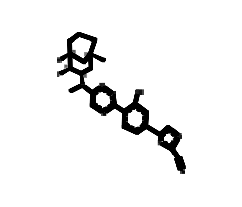 CN(c1cnc(-c2ccc(-c3csc(C#N)n3)cc2O)nn1)[C@@H]1C[C@@]2(C)CCC[C@H](C2)[C@@H]1F